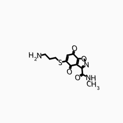 CNC(=O)c1noc2c1C(=O)C(SCCCN)=CC2=O